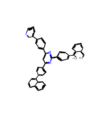 CC/C=c1/cccc/c1=C(/C)c1ccc(-c2nc(-c3ccc(-c4cccnc4)cc3)cc(-c3ccc(-c4cccc5ccccc45)cc3)n2)cc1